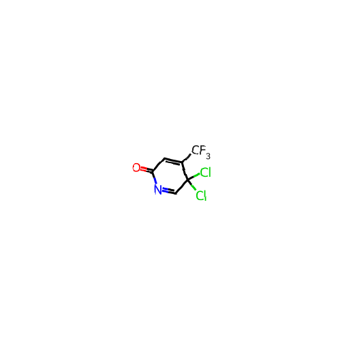 O=C1C=C(C(F)(F)F)C(Cl)(Cl)C=N1